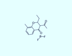 CCC1Oc2c(C)cccc2C(=O)C1C(C)=O.F[B]F